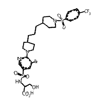 O=C(O)C(CO)NS(=O)(=O)c1cnc(N2CCC(CCCC3CCN(S(=O)(=O)c4ccc(C(F)(F)F)cc4)CC3)CC2)c(Br)c1